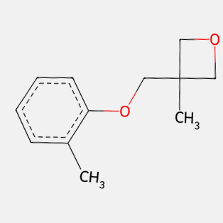 Cc1ccccc1OCC1(C)COC1